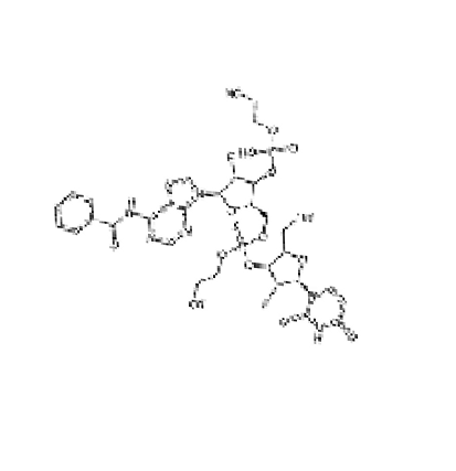 N#CCCOP(=O)(O)O[C@@H]1C(F)[C@H](n2cnc3c(NC(=O)c4ccccc4)ncnc32)O[C@@H]1COP(=S)(OCCC#N)O[C@@H]1C(F)[C@H](n2ccc(=O)[nH]c2=O)O[C@@H]1CO